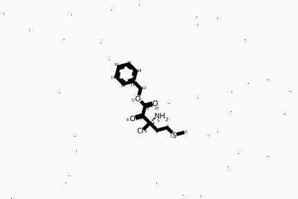 CSCC[C@@](N)(Cl)C(=O)C(=O)OCc1ccccc1